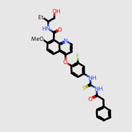 CCC(CO)NC(=O)c1c(OC)ccc2c(Oc3ccc(NC(=S)NC(=O)Cc4ccccc4)cc3F)ccnc12